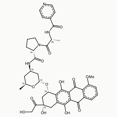 COc1cccc2c1C(=O)c1c(O)c3c(c(O)c1C2=O)C[C@@](O)(C(=O)CO)C[C@@H]3O[C@H]1C[C@H](NC(=O)[C@@H]2CCCN2C(=O)[C@@H](C)NC(=O)c2ccncc2)C[C@H](C)O1